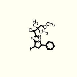 COCC(C)(C)C(=O)c1nc2n(n1)C(c1ccccc1)CC2F